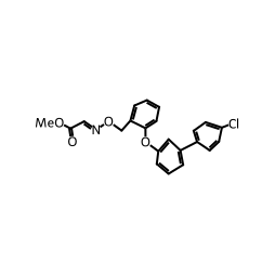 COC(=O)/C=N/OCc1ccccc1Oc1cccc(-c2ccc(Cl)cc2)c1